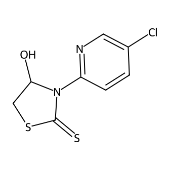 OC1CSC(=S)N1c1ccc(Cl)cn1